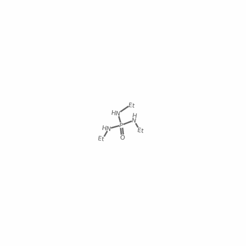 CCNP(=O)(NCC)NCC